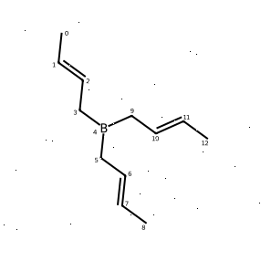 CC=CCB(CC=CC)CC=CC